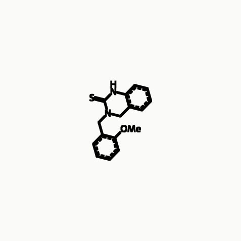 COc1ccccc1CN1Cc2ccccc2NC1=S